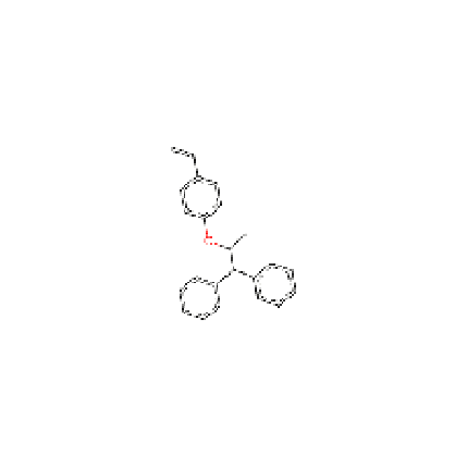 C=Cc1ccc(OC(C)C(c2ccccc2)c2ccccc2)cc1